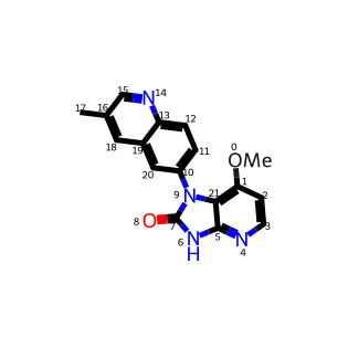 COc1ccnc2[nH]c(=O)n(-c3ccc4ncc(C)cc4c3)c12